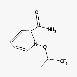 CC(ON1C=CC=CC1C(N)=O)C(F)(F)F